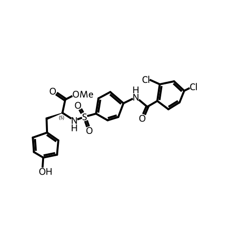 COC(=O)[C@H](Cc1ccc(O)cc1)NS(=O)(=O)c1ccc(NC(=O)c2ccc(Cl)cc2Cl)cc1